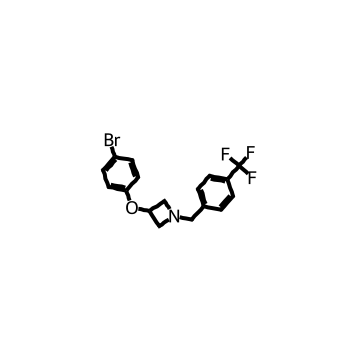 FC(F)(F)c1ccc(CN2CC(Oc3ccc(Br)cc3)C2)cc1